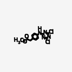 COC(=O)Cc1ccc(Nc2nc(Cl)nc(Cl)n2)cc1